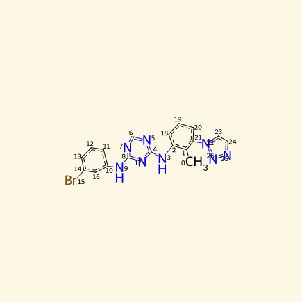 Cc1c(Nc2ncnc(Nc3cccc(Br)c3)n2)cccc1-n1ccnn1